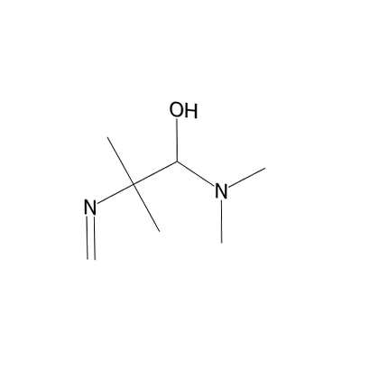 C=NC(C)(C)C(O)N(C)C